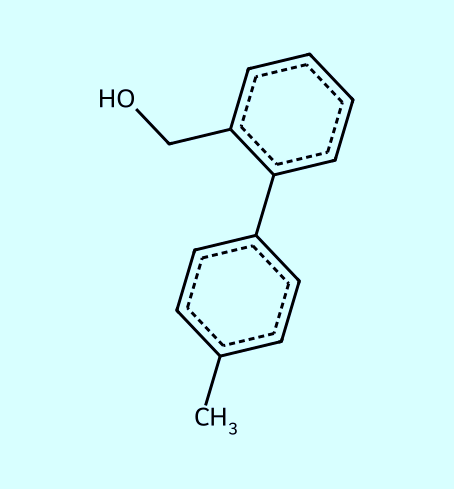 Cc1ccc(-c2ccccc2CO)cc1